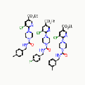 CCOC(=O)c1cnc(N2CCN(C(=O)NCc3ccc(C)cc3)CC2)c(Cl)c1.CCOC(=O)c1cnc(N2CCN(C(=O)NCc3ccc(F)cc3)CC2)c(Cl)c1.CCOC(=O)c1cnc(N2CCN(C(=O)NCc3cccc(C)c3)CC2)c(Cl)c1